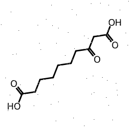 O=C(O)CCCCCCC(=O)CC(=O)O